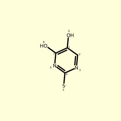 Oc1cnc([S])nc1O